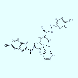 O=C(Nc1nc2cc(Cl)ccc2o1)OC1(c2ccccc2)CCN(C(=O)CCc2ccc(F)cc2)CC1